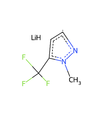 Cn1n[c]cc1C(F)(F)F.[LiH]